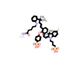 BNC(=O)CCCC[N+]1=C(/C=C/C2=C(Oc3ccc(S(=O)(=O)O)cc3)C(=C/C=C3/N(CCCCS(=O)(=O)O)c4ccc(F)cc4C3(C)C)/CCC2)C(C)(C)c2ccccc21